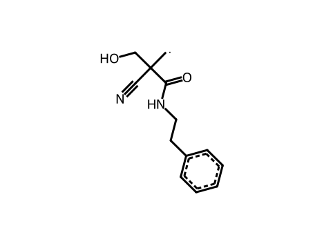 [CH2]C(C#N)(CO)C(=O)NCCc1ccccc1